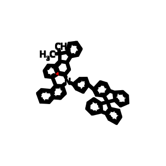 CC1(C)C2=CC=C(N(c3ccc(-c4ccc5c(c4)C4(c6ccccc6-c6ccccc64)c4ccccc4-5)cc3)c3ccc4ccccc4c3-c3ccccc3)CC2c2ccccc21